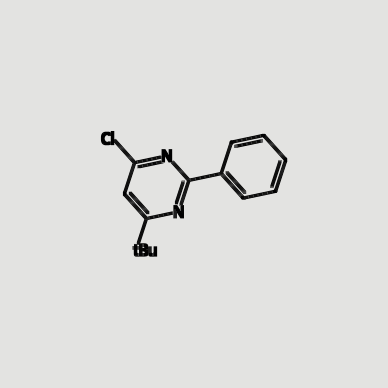 CC(C)(C)c1cc(Cl)nc(-c2ccccc2)n1